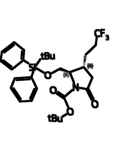 CC(C)(C)OC(=O)N1C(=O)C[C@@H](CCC(F)(F)F)[C@@H]1CO[Si](c1ccccc1)(c1ccccc1)C(C)(C)C